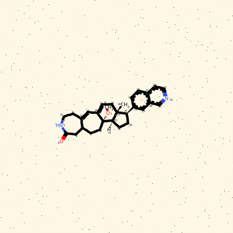 CO[C@]12CCC3CC(=O)NCCC3=CC1=CC[C@]1(C)[C@@H](c3ccc4ccncc4c3)CC[C@H]12